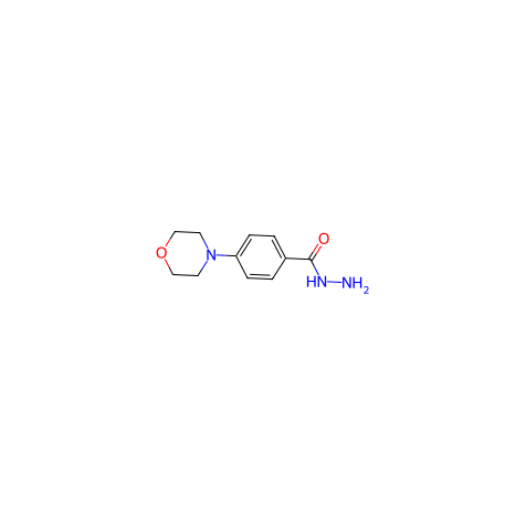 NNC(=O)c1ccc(N2CCOCC2)cc1